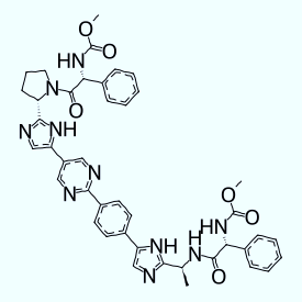 COC(=O)N[C@@H](C(=O)N[C@@H](C)c1ncc(-c2ccc(-c3ncc(-c4cnc([C@@H]5CCCN5C(=O)[C@H](NC(=O)OC)c5ccccc5)[nH]4)cn3)cc2)[nH]1)c1ccccc1